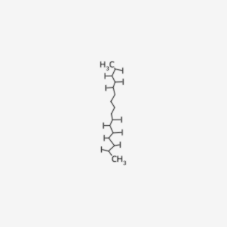 CC(I)C(I)C(I)C(I)CCCCC(I)C(I)C(I)C(I)C(I)C(C)I